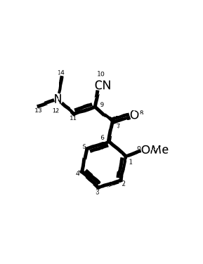 COc1ccccc1C(=O)C(C#N)=CN(C)C